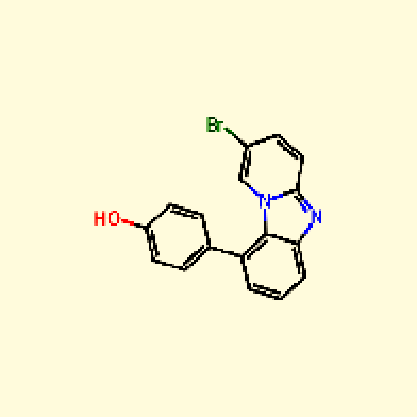 Oc1ccc(-c2cccc3nc4ccc(Br)cn4c23)cc1